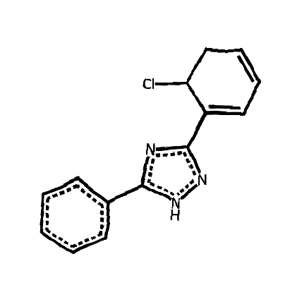 ClC1CC=CC=C1c1n[nH]c(-c2ccccc2)n1